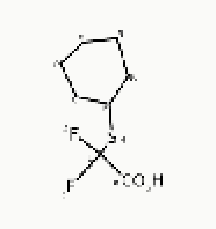 O=C(O)C(F)(F)SC1CCCCC1